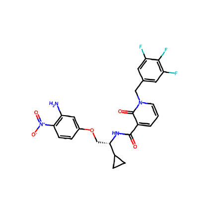 Nc1cc(OC[C@H](NC(=O)c2cccn(Cc3cc(F)c(F)c(F)c3)c2=O)C2CC2)ccc1[N+](=O)[O-]